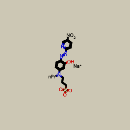 CCCN(CCCS(=O)(=O)[O-])c1ccc(N=Nc2ccc([N+](=O)[O-])cn2)c(O)c1.[Na+]